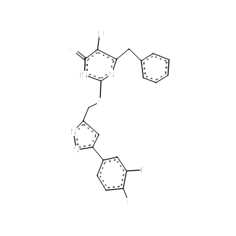 CCc1c(Cc2ccccc2)nc(SCc2cc(-c3ccc(F)c(F)c3)[nH]n2)[nH]c1=O